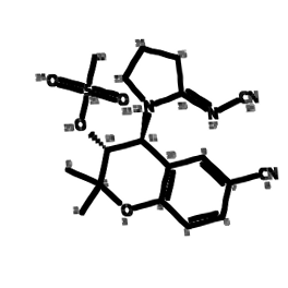 CC1(C)Oc2ccc(C#N)cc2[C@H](N2CCCC2=NC#N)[C@H]1OS(C)(=O)=O